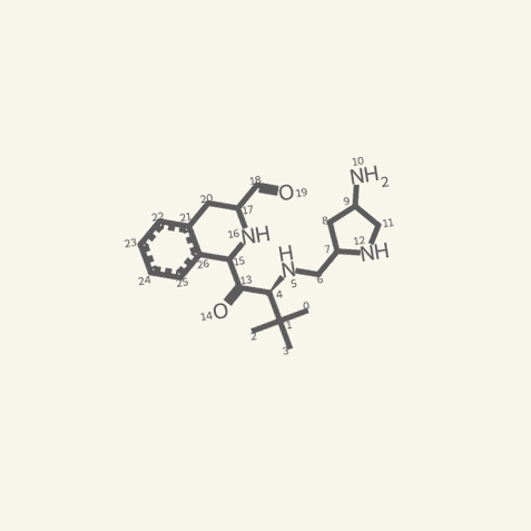 CC(C)(C)[C@H](NCC1CC(N)CN1)C(=O)C1NC([C]=O)Cc2ccccc21